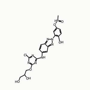 C[PH](=O)Oc1ccc(O)c(-n2nc3ccc(Nc4nc(Cl)nc(OCC(O)CO)n4)cc3n2)c1